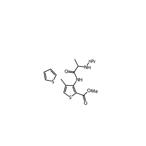 CCCNC(C)C(=O)Nc1c(C)csc1C(=O)OC.c1ccsc1